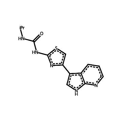 CC(C)NC(=O)Nc1nc(-c2c[nH]c3ncccc23)cs1